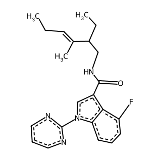 CC/C=C(\C)C(CC)CNC(=O)c1cn(-c2ncccn2)c2cccc(F)c12